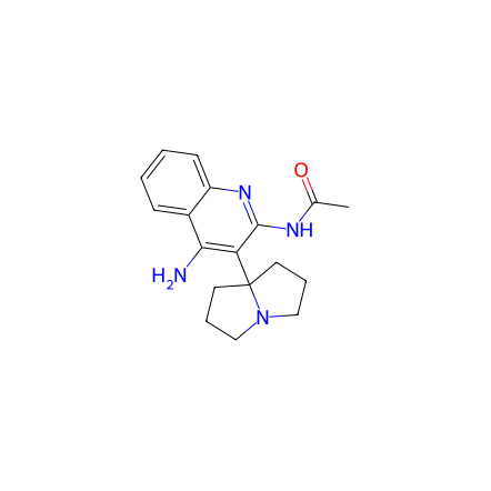 CC(=O)Nc1nc2ccccc2c(N)c1C12CCCN1CCC2